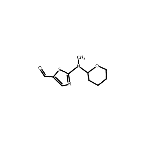 CN(c1ncc(C=O)s1)C1CCCCO1